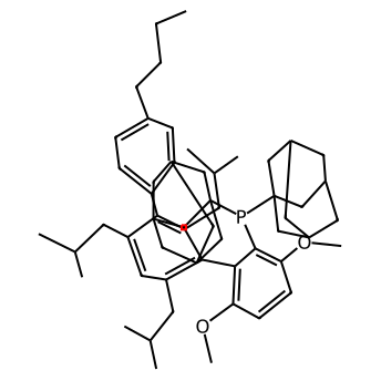 CCCCc1ccc(-c2c(CC(C)C)cc(CC(C)C)c(-c3c(OC)ccc(OC)c3P(C34CC5CC(CC(C5)C3)C4)C34CC5CC(CC(C5)C3)C4)c2CC(C)C)cc1